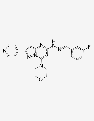 Fc1cccc(/C=N/Nc2cc(N3CCOCC3)n3nc(-c4ccncc4)cc3n2)c1